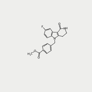 COC(=O)c1ccc(Cn2c3c(c4cc(F)ccc42)C(=O)NCC3)cc1